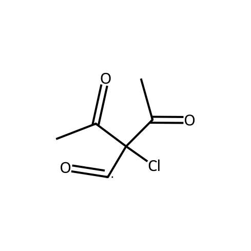 CC(=O)C(Cl)([C]=O)C(C)=O